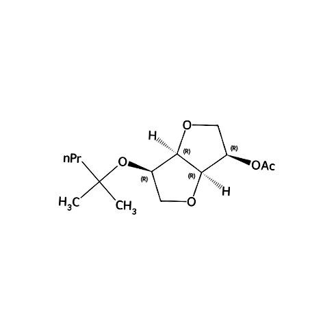 CCCC(C)(C)O[C@@H]1CO[C@H]2[C@@H]1OC[C@H]2OC(C)=O